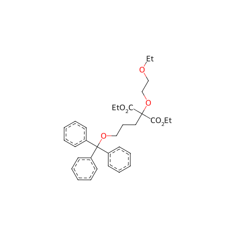 CCOCCOC(CCCOC(c1ccccc1)(c1ccccc1)c1ccccc1)(C(=O)OCC)C(=O)OCC